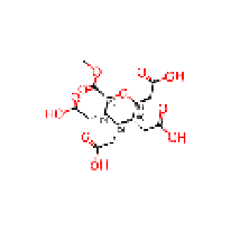 COC(=O)[C@H]1O[C@@H](CC(=O)O)[C@H](CC(=O)O)[C@H](CC(=O)O)[C@@H]1CC(=O)O